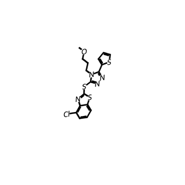 COCCCn1c(Sc2nc3c(Cl)cccc3s2)nnc1-c1cccs1